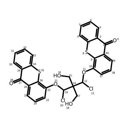 O=c1c2ccccc2sc2c(OC(Cl)C(CO)(CO)C(Cl)Oc3cccc4c(=O)c5ccccc5sc34)cccc12